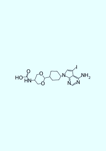 Nc1ncnc2c1c(I)cn2C1CCC(C2OCC(NC(=O)O)CO2)CC1